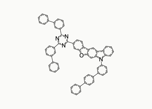 c1ccc(-c2ccc(-c3cccc(-n4c5ccccc5c5cc6c(cc54)oc4cc(-c5nc(-c7cccc(-c8ccccc8)c7)nc(-c7cccc(-c8ccccc8)c7)n5)ccc46)c3)cc2)cc1